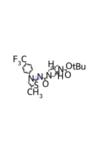 Cc1cn(-c2ccc(C(F)(F)F)cc2)/c(=N/C(=O)N2C[C@H]3CN(C(=O)OC(C)(C)C)[C@H]3C2)s1